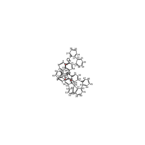 c1ccc(-c2ccccc2N(c2ccc3c(c2)-c2ccccc2-c2ccccc2O3)c2ccc3c(c2)C2(c4ccccc4-c4ccccc4-3)c3ccccc3-c3cc4c(cc32)sc2ccccc24)cc1